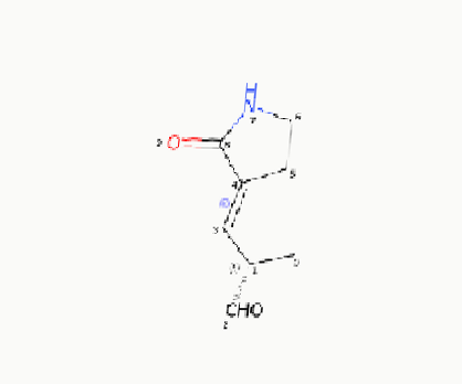 C[C@H](C=O)/C=C1\CCNC1=O